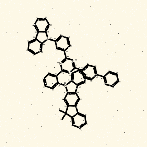 CC1(C)c2ccccc2-c2cc3c4ccccc4n(-c4ccccc4-c4nc(-c5ccc(-c6ccccc6)cc5)nc(-c5cccc(-n6c7ccccc7c7ccccc76)c5)n4)c3cc21